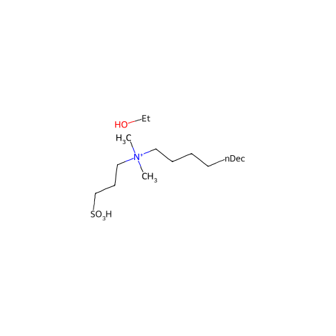 CCCCCCCCCCCCCC[N+](C)(C)CCCS(=O)(=O)O.CCO